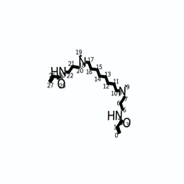 C=CC(=O)NCCCN(C)CCCCCCCCN(C)CCCNC(=O)C=C